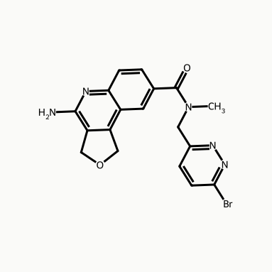 CN(Cc1ccc(Br)nn1)C(=O)c1ccc2nc(N)c3c(c2c1)COC3